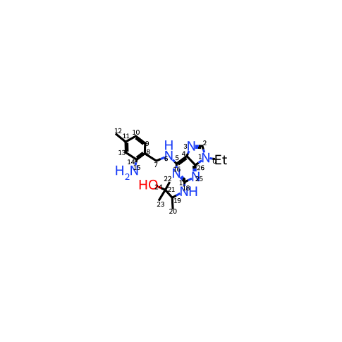 CCn1cnc2c(NCc3ccc(C)cc3N)nc(NC(C)C(C)(C)O)nc21